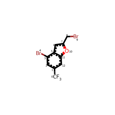 FC(F)(F)c1cc(Br)c2cc(CBr)oc2c1